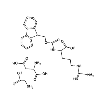 N=C(N)NCCCC(NC(=O)OCC1c2ccccc2-c2ccccc21)C(=O)O.NC(CC(=O)O)C(=O)O.NCC(=O)O